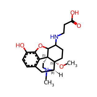 CO[C@@]12CCC(NCCC(=O)O)C3Oc4c(O)ccc5c4[C@@]31CCN(C)[C@@H]2C5